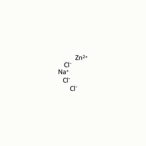 [Cl-].[Cl-].[Cl-].[Na+].[Zn+2]